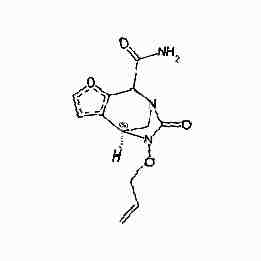 C=CCON1C(=O)N2C[C@@H]1c1ccoc1C2C(N)=O